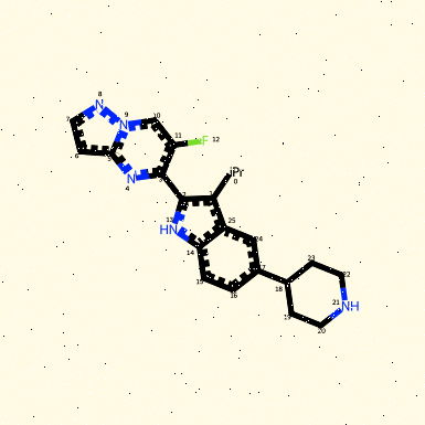 CC(C)c1c(-c2nc3ccnn3cc2F)[nH]c2ccc(C3CCNCC3)cc12